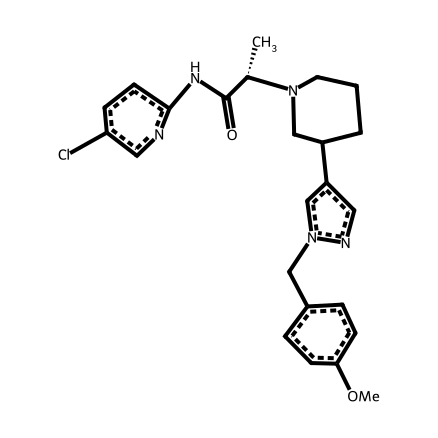 COc1ccc(Cn2cc(C3CCCN([C@@H](C)C(=O)Nc4ccc(Cl)cn4)C3)cn2)cc1